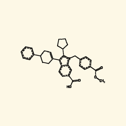 COC(=O)c1ccc(Cn2c(C3CCCC3)c(C3=CCC(c4ccccc4)CC3)c3ccc(C(=O)O)cc32)cc1